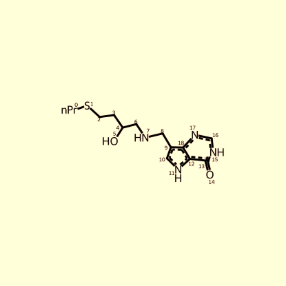 CCCSCCC(O)CNCc1c[nH]c2c(=O)[nH]cnc12